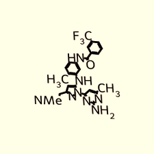 CNCc1cc(Nc2cc(NC(=O)c3cccc(C(F)(F)F)c3)ccc2C)n(-c2cc(C)nc(N)n2)n1